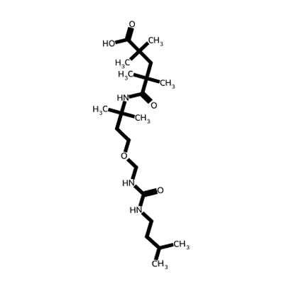 CC(C)CCNC(=O)NCOCCC(C)(C)NC(=O)C(C)(C)CC(C)(C)C(=O)O